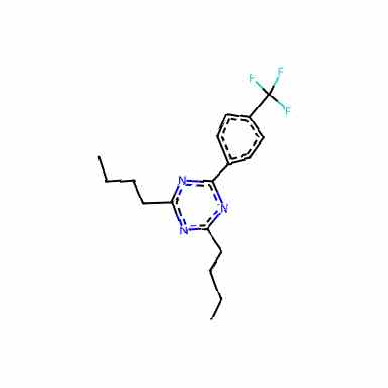 CCCCc1nc(CCCC)nc(-c2ccc(C(F)(F)F)cc2)n1